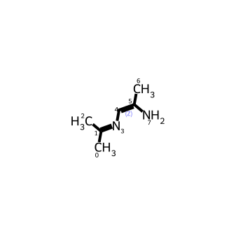 CC(C)=N/C=C(/C)N